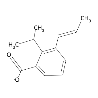 C/C=C/c1cccc(C([O])=O)c1C(C)C